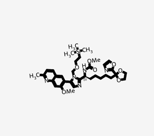 COC(=O)N[C@@H](CCCCCC1(c2ncco2)OCCO1)c1ncc(-c2cc3ccc(C)nc3cc2OC)n1COCC[Si](C)(C)C